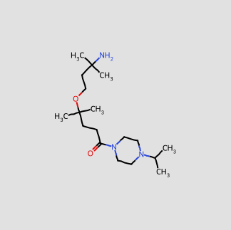 CC(C)N1CCN(C(=O)CCC(C)(C)OCCC(C)(C)N)CC1